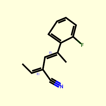 C/C=C(C#N)\C=C(/C)c1ccccc1F